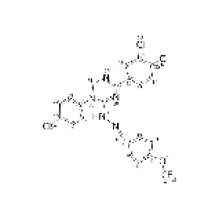 FC(F)(F)Oc1ccc(C=NNC2=NC(c3ccc(Cl)c(Cl)c3)=NCN2c2ccc(Cl)cc2)cc1